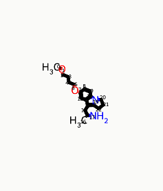 COCCCCOc1ccc2c(c1)c(C[C@H](C)N)c1n2CCC1